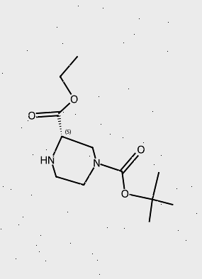 CCOC(=O)[C@@H]1CN(C(=O)OC(C)(C)C)CCN1